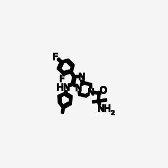 Cc1ccc(Nc2c(-c3ccc(F)cc3F)nc3n2CCN(C(=O)C(C)(C)N)C3)cc1